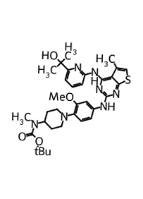 COc1cc(Nc2nc(Nc3cccc(C(C)(C)O)n3)c3c(C)csc3n2)ccc1N1CCC(N(C)C(=O)OC(C)(C)C)CC1